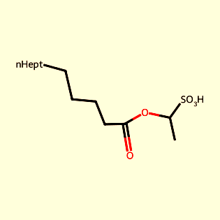 CCCCCCCCCCCC(=O)OC(C)S(=O)(=O)O